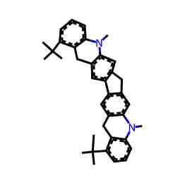 CN1c2cc3c(cc2Cc2c1cccc2C(C)(C)C)-c1cc2c(cc1C3)N(C)c1cccc(C(C)(C)C)c1C2